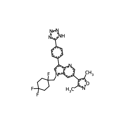 Cc1noc(C)c1-c1cnc2c(-c3ccc(-c4nnn[nH]4)cc3)cn(CC3(F)CCC(F)(F)CC3)c2c1